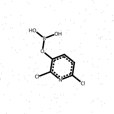 OB(O)Oc1ccc(Cl)nc1Cl